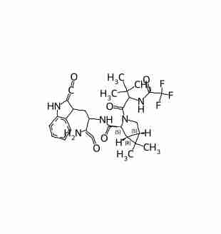 CC(C)(C)C(NC(=O)C(F)(F)F)C(=O)N1C[C@H]2[C@@H]([C@H]1C(=O)NC(CC1C(=C=O)Nc3ccccc31)C(N)=C=O)C2(C)C